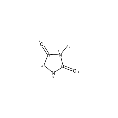 CN1C(=O)C[N]C1=O